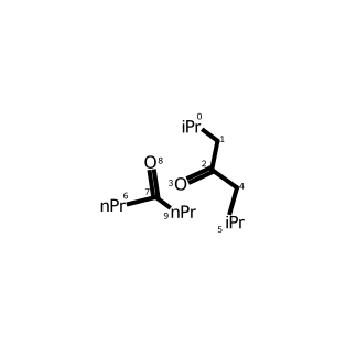 CC(C)CC(=O)CC(C)C.CCCC(=O)CCC